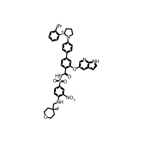 CC(C)c1ccccc1[C@H]1CCCN1c1ccc(-c2ccc(C(=O)NS(=O)(=O)c3ccc(NCC4(F)CCOCC4)c([N+](=O)[O-])c3)c(Oc3cnc4[nH]ccc4c3)c2)cc1